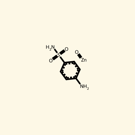 Nc1ccc(S(N)(=O)=O)cc1.[O]=[Zn]